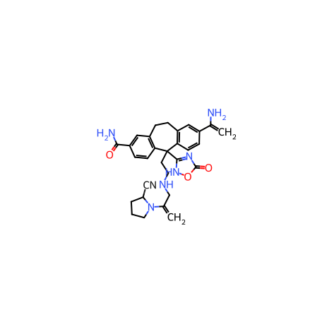 C=C(N)c1ccc2c(c1)CCc1cc(C(N)=O)ccc1C2(CCNCC(=C)N1CCCC1C#N)c1nc(=O)o[nH]1